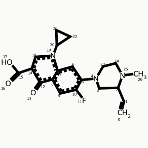 C=CC1CN(c2cc3c(cc2F)c(=O)c(C(=O)O)cn3C2CC2)CCN1C